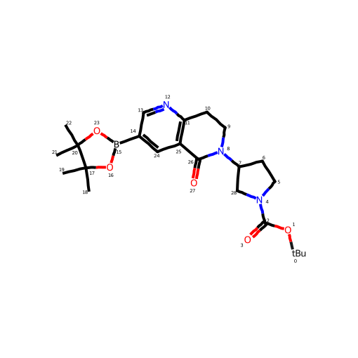 CC(C)(C)OC(=O)N1CCC(N2CCc3ncc(B4OC(C)(C)C(C)(C)O4)cc3C2=O)C1